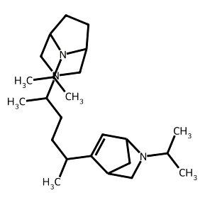 CC(CCC(C)N1CC2CCC(C1)N2C(C)C)C1=CC2CC1CN2C(C)C